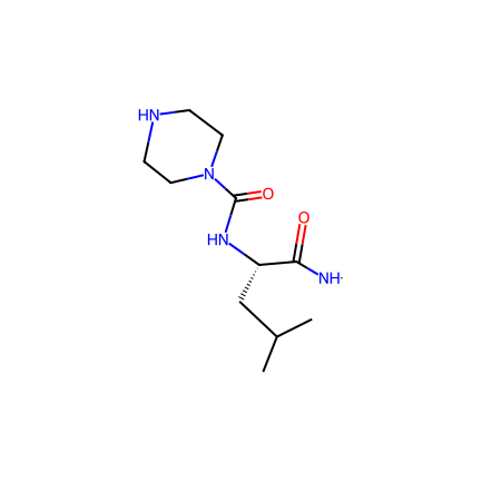 CC(C)C[C@H](NC(=O)N1CCNCC1)C([NH])=O